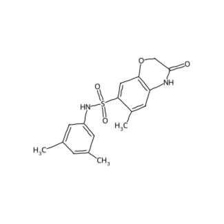 Cc1cc(C)cc(NS(=O)(=O)c2cc3c(cc2C)NC(=O)CO3)c1